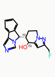 O[C@@H]1c2cc(CF)nn2CC[C@H]1C1c2ccccc2-c2cncn21